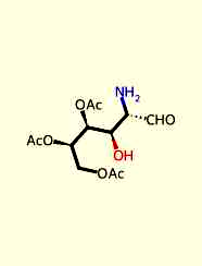 CC(=O)OC[C@@H](OC(C)=O)[C@@H](OC(C)=O)[C@H](O)[C@H](N)C=O